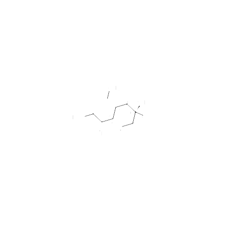 CC[C@@H]1C[C@](C)(O)CC[C@@H]1[C@H](C)CC